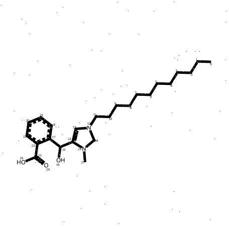 CCCCCCCCCCCCN1C=C(C(O)c2ccccc2C(=O)O)N(C)C1